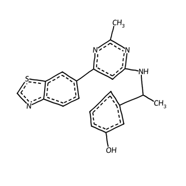 Cc1nc(NC(C)c2cccc(O)c2)cc(-c2ccc3ncsc3c2)n1